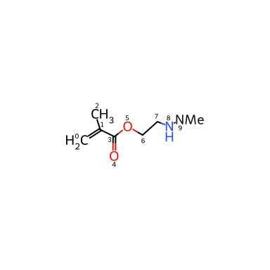 C=C(C)C(=O)OCCNNC